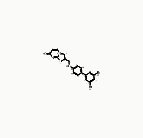 O=c1ccn2c(n1)OC(COc1ccc(-c3cc(Br)cc(Br)c3)cc1)C2